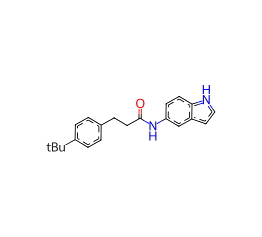 CC(C)(C)c1ccc(CCC(=O)Nc2ccc3[nH]ccc3c2)cc1